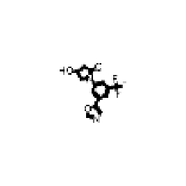 O=C1CC(O)CN1c1cc(-c2cnco2)cc(C(F)(F)F)c1